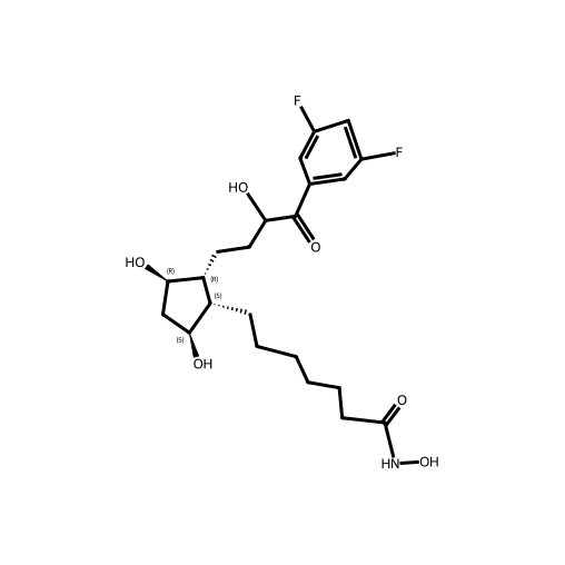 O=C(CCCCCC[C@H]1[C@@H](CCC(O)C(=O)c2cc(F)cc(F)c2)[C@H](O)C[C@@H]1O)NO